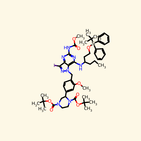 CCCC(CCO[Si](c1ccccc1)(c1ccccc1)C(C)(C)C)Nc1nc(NC(=O)OC)nc2c(I)nn(Cc3ccc(C4CN(C(=O)OC(C)(C)C)CCN4C(=O)OC(C)(C)C)cc3OC)c12